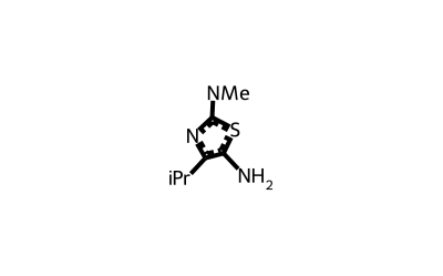 CNc1nc(C(C)C)c(N)s1